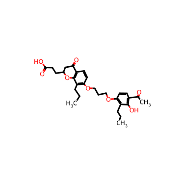 CCCc1c(OCCCOc2ccc3c(c2CCC)OC(CCC(=O)O)CC3=O)ccc(C(C)=O)c1O